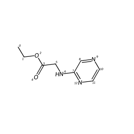 CCOC(=O)CNc1cnccn1